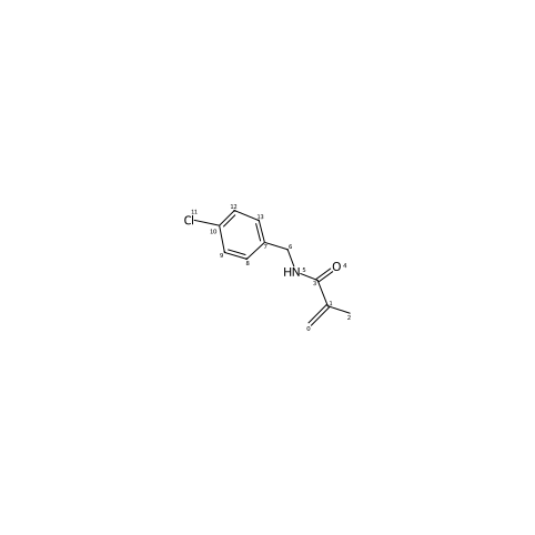 C=C(C)C(=O)NCc1ccc(Cl)cc1